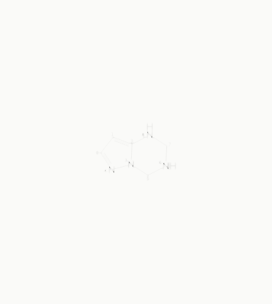 c1cc2n(n1)CNCN2